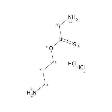 Cl.Cl.NCCCOC(=S)CN